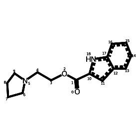 O=C(OCCN1CCCC1)c1cc2ccccc2[nH]1